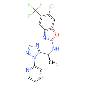 C[C@H](Nc1nc2cc(C(F)(F)F)c(Cl)cc2o1)c1ncnn1-c1ccccn1